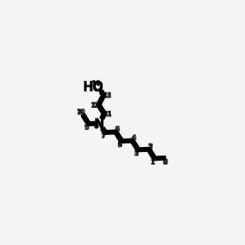 CCCCCCCCN(CC)CCCO